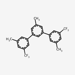 Cc1cc(-c2cc(C)cc(C(F)(F)F)c2)cc(-c2cc(C)cc(C(F)(F)F)c2)c1